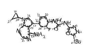 CC(C)(C)c1nnc(NC(=O)Nc2ccc(-c3cn(C4CC4)c4ncnc(N)c34)cc2F)o1